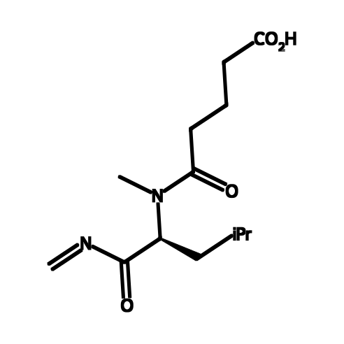 C=NC(=O)[C@H](CC(C)C)N(C)C(=O)CCCC(=O)O